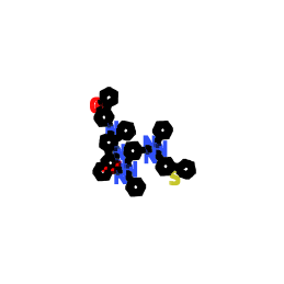 c1ccc(-c2nc(-c3ccc(-n4c5ccccc5c5ccc6c(c7ccccc7n6-c6ccc7oc8ccccc8c7c6)c54)c(-c4nc(-c5ccccc5)nc(-c5ccccc5)n4)c3)nc(-c3ccc4sc5ccccc5c4c3)n2)cc1